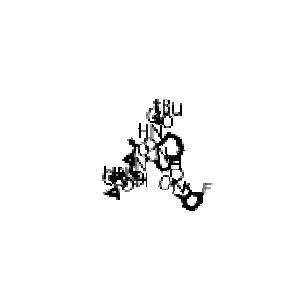 C=C[C@@H]1C[C@]1(NC(=O)[C@@H]1C[C@@H](OC(=O)N2Cc3cccc(F)c3C2)[C@@H]2C/C=C\C[C@H](NC(=O)OC(C)(C)C)C(=O)N12)C(=O)NS(=O)(=O)C1CC1